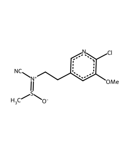 COc1cc(CC[N+](C#N)=S(C)[O-])cnc1Cl